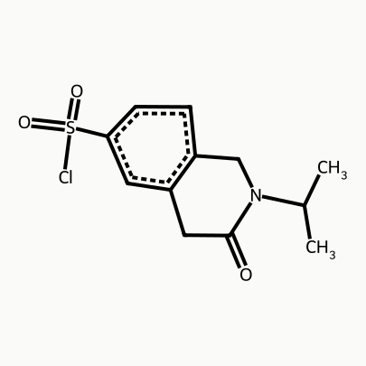 CC(C)N1Cc2ccc(S(=O)(=O)Cl)cc2CC1=O